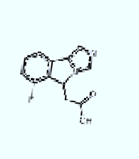 O=C(O)CC1c2c(F)cccc2-c2cncn21